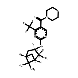 C[C@@H]1[C@H]2C[C@@H](C[C@H]1Nc1ncc(C(=O)N3CCOCC3)c(C(F)(F)F)n1)C2(C)C